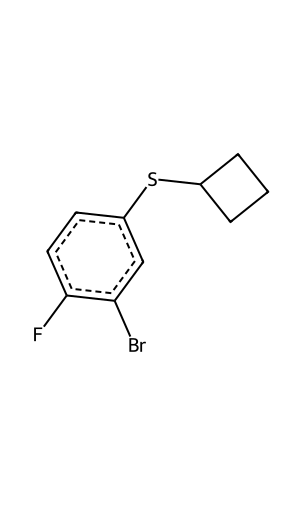 Fc1ccc(SC2CCC2)cc1Br